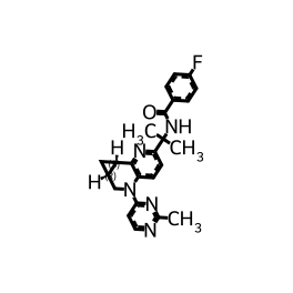 Cc1nccc(N2C[C@@H]3C[C@@H]3c3nc(C(C)(C)NC(=O)c4ccc(F)cc4)ccc32)n1